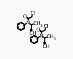 C#CC(C)N(C(=O)CCl)c1ccccc1.C#CC(C)N(C(=O)CCl)c1ccccc1